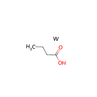 CCCC(=O)O.[W]